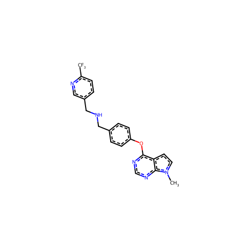 Cn1ccc2c(Oc3ccc(CNCc4ccc(C(F)(F)F)nc4)cc3)ncnc21